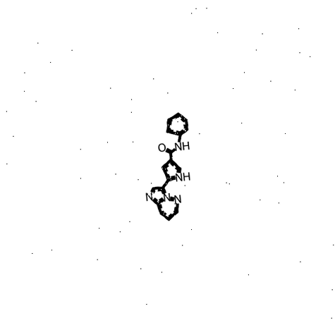 O=C(Nc1ccccc1)c1c[nH]c(-c2cnc3cccnn23)c1